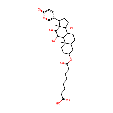 CC12CCC(OC(=O)CCCCCCC(=O)O)CC1CCC1C2C(O)C(=O)C2(C)C(c3ccc(=O)oc3)CCC12O